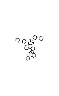 C1=CCC(c2cccc(-c3nc(-c4ccc(-c5ccccc5)cc4)nc(-c4ccc5c(oc6c(-c7ccccc7)cccc65)c4-c4ccccc4)n3)c2)C=C1